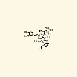 C=CC(C)(CCC=C(C)C)OC1OC(CO)C(OC(=O)/C=C/c2ccc(O)c(O)c2)C(O[C@@H]2O[C@@H](C)[C@H](O)[C@@H](O)[C@H]2O)C1O